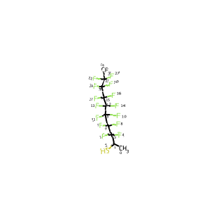 CC(S)C(F)(F)C(F)(F)C(F)(F)C(F)(F)C(F)(F)C(F)(F)C(F)(F)C(F)(F)F